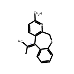 C/C(C#N)=C1\c2ccccc2OCc2nc(C(=O)O)ccc21